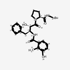 CCCCNC(=O)[C@@H]1CCCN1C(=O)[C@@H](O)[C@H](Cc1ccccc1)NC(=O)c1cccc(O)c1C